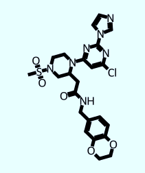 CS(=O)(=O)N1CCN(c2cc(Cl)nc(-n3ccnc3)n2)C(CC(=O)NCc2ccc3c(c2)OCCO3)C1